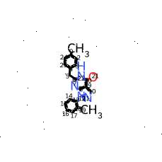 Cc1ccc(Cc2nc3c(cnn3-c3ccccc3C)c(=O)[nH]2)cc1